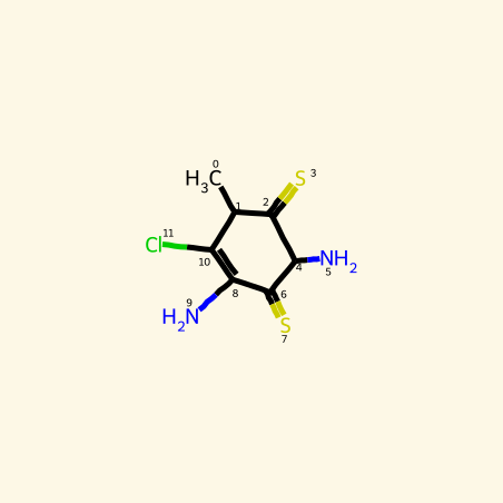 CC1C(=S)C(N)C(=S)C(N)=C1Cl